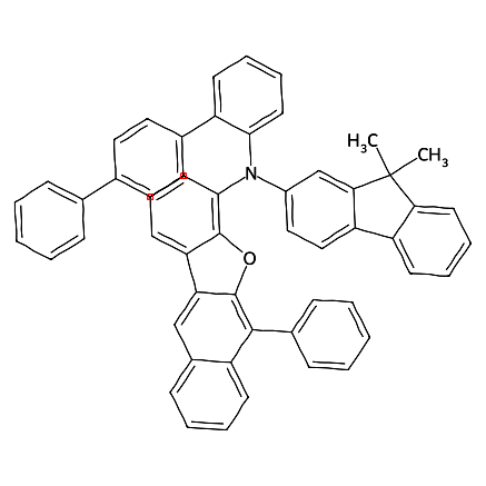 CC1(C)c2ccccc2-c2ccc(N(c3ccccc3-c3ccc(-c4ccccc4)cc3)c3cccc4c3oc3c(-c5ccccc5)c5ccccc5cc34)cc21